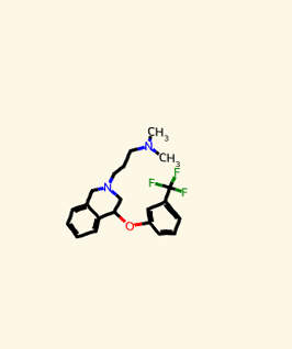 CN(C)CCCN1Cc2ccccc2C(Oc2cccc(C(F)(F)F)c2)C1